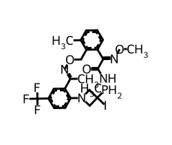 CNC(=O)/C(=N/OC)c1cccc(C)c1CO/N=C(\C)c1cc(C(F)(F)F)ccc1N1CC(P)(I)C1